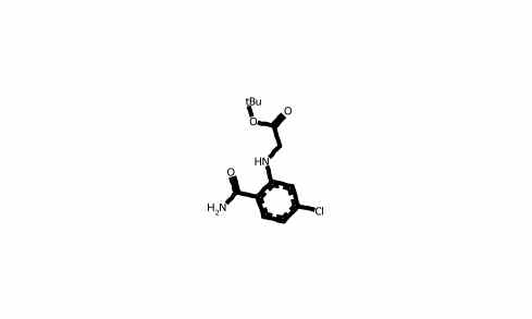 CC(C)(C)OC(=O)CNc1cc(Cl)ccc1C(N)=O